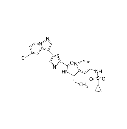 CC[C@H](NC(=O)c1ncc(-c2cnn3ccc(Cl)cc23)s1)c1cc(NS(=O)(=O)C2CC2)ccn1